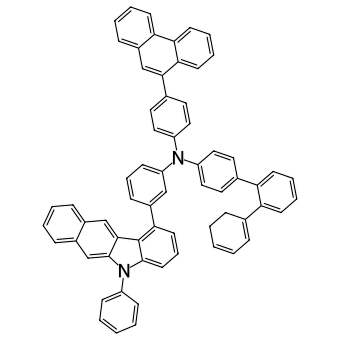 C1=CCCC(c2ccccc2-c2ccc(N(c3ccc(-c4cc5ccccc5c5ccccc45)cc3)c3cccc(-c4cccc5c4c4cc6ccccc6cc4n5-c4ccccc4)c3)cc2)=C1